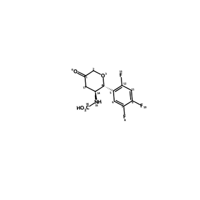 O=C1CO[C@H](c2cc(F)c(F)cc2F)[C@@H](NC(=O)O)C1